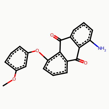 COc1cccc(Oc2cccc3c2C(=O)c2cccc(N)c2C3=O)c1